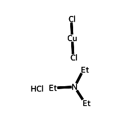 CCN(CC)CC.Cl.[Cl][Cu][Cl]